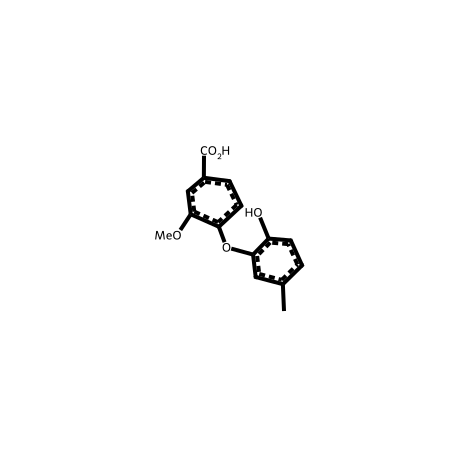 COc1cc(C(=O)O)ccc1Oc1cc(C)ccc1O